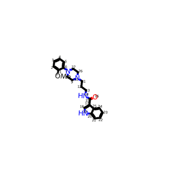 COc1ccccc1N1CCN(CCCNC(=O)c2c[nH]c3ccccc23)CC1